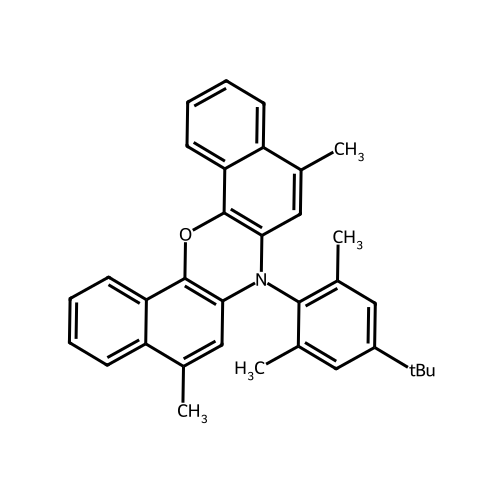 Cc1cc(C(C)(C)C)cc(C)c1N1c2cc(C)c3ccccc3c2Oc2c1cc(C)c1ccccc21